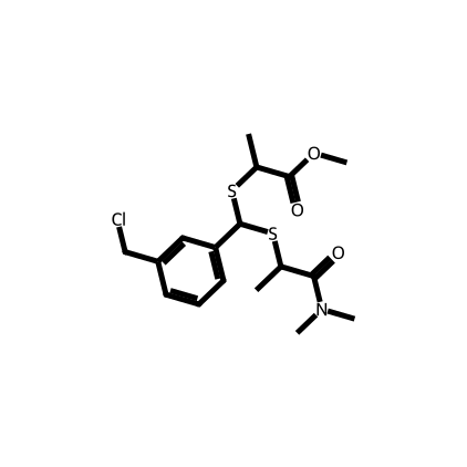 COC(=O)C(C)SC(SC(C)C(=O)N(C)C)c1cccc(CCl)c1